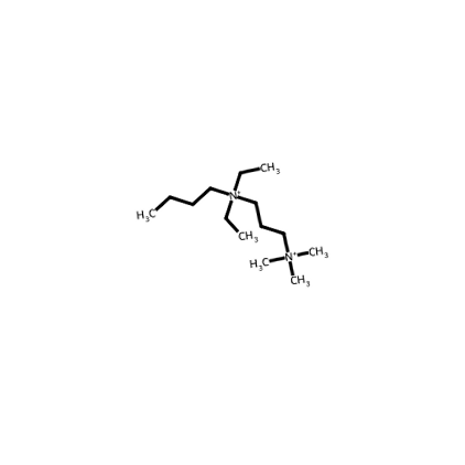 CCCC[N+](CC)(CC)CCC[N+](C)(C)C